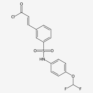 O=C(Cl)C=Cc1cccc(S(=O)(=O)Nc2ccc(OC(F)F)cc2)c1